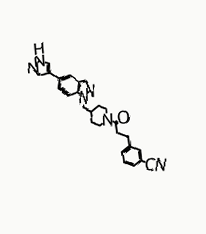 N#Cc1cccc(CCC(=O)N2CCC(Cn3ncc4cc(-c5cn[nH]c5)ccc43)CC2)c1